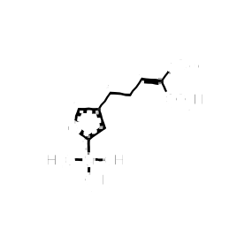 CCCCCCCCCCC(=CCCc1coc([Si](C)(C)C)c1)C(=O)O